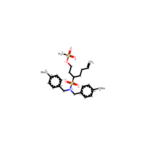 C=CCCC(CCOS(C)(=O)=O)S(=O)(=O)N(Cc1ccc(OC)cc1)Cc1ccc(OC)cc1